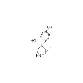 C[C@@H]1CNCCN1c1ccc(O)cc1.Cl